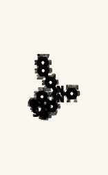 c1ccc(-c2nc(-c3ccc(-c4ccc5ccccc5c4)cc3)cc(-c3cccc4c3-c3ccccc3C43c4ccccc4Sc4ccccc43)n2)cc1